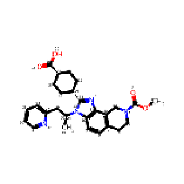 COC(=O)N1CCc2ccc3c(nc([C@H]4CC[C@H](C(=O)O)CC4)n3[C@@H](C)Cc3ccccn3)c2C1